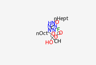 C#C[C@@](CO)(CC[C@@H](CCCCCCCC)n1cnc2c(NC(=O)CCCCCCC)nc(F)nc21)C(=O)OC1CCOC1